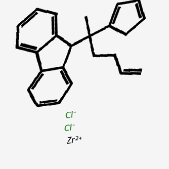 C=CCCC(C)(C1=CC=CC1)C1c2ccccc2-c2ccccc21.[Cl-].[Cl-].[Zr+2]